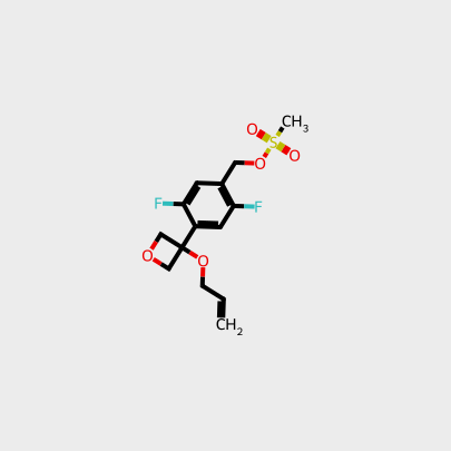 C=CCOC1(c2cc(F)c(COS(C)(=O)=O)cc2F)COC1